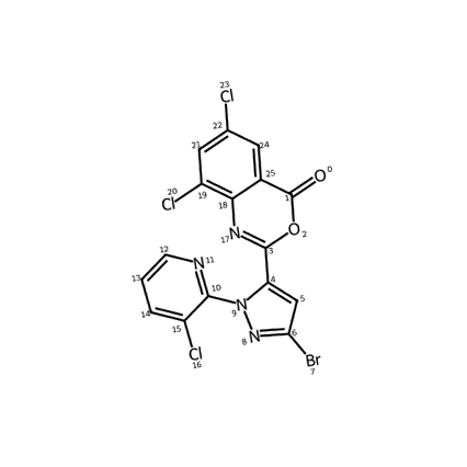 O=c1oc(-c2cc(Br)nn2-c2ncccc2Cl)nc2c(Cl)cc(Cl)cc12